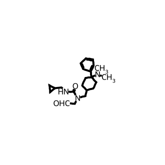 CN(C)C1(c2ccccc2)CCC(CN(CC=O)C(=O)NCC2CC2)CC1